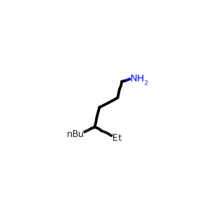 CCCCC(CC)CCCN